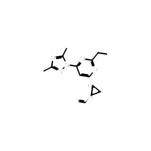 CCc1nc([C@@H]2C[C@H]2C=O)cc(-n2nc(C)nc2C)n1